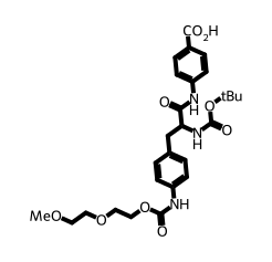 COCCOCCOC(=O)Nc1ccc(CC(NC(=O)OC(C)(C)C)C(=O)Nc2ccc(C(=O)O)cc2)cc1